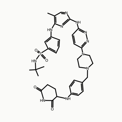 Cc1cnc(Nc2ccc(N3CCN(Cc4ccc(NC5CCC(=O)NC5=O)cc4)CC3)nn2)nc1Nc1cccc(S(=O)(=O)NC(C)(C)C)c1